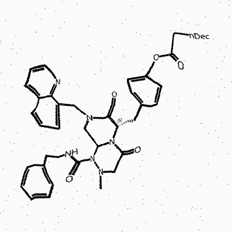 CCCCCCCCCCCC(=O)Oc1ccc(C[C@H]2C(=O)N(Cc3cccc4cccnc34)CC3N2C(=O)CN(C)N3C(=O)NCc2ccccc2)cc1